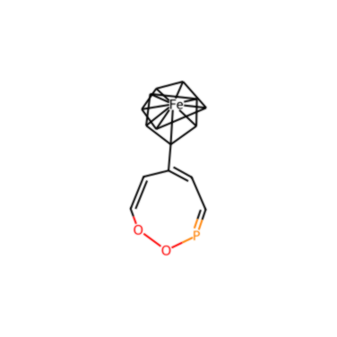 c1cc([C]23[CH]4[CH]5[CH]6[CH]2[Fe]56432789[CH]3[CH]2[CH]7[CH]8[CH]39)ccpoo1